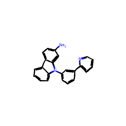 Nc1ccc2c3ccccc3n(-c3cccc(-c4ccccn4)c3)c2c1